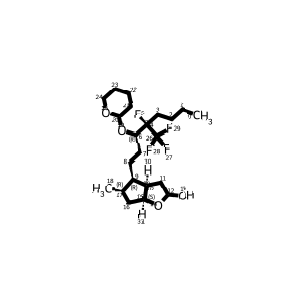 CCCC[C@@](F)([C@@H](CC[C@H]1[C@H]2CC(O)O[C@H]2C[C@H]1C)OC1CCCCO1)C(F)(F)F